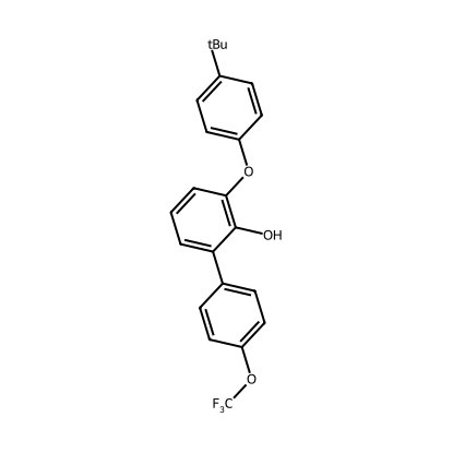 CC(C)(C)c1ccc(Oc2cccc(-c3ccc(OC(F)(F)F)cc3)c2O)cc1